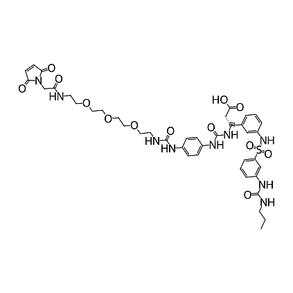 CCCNC(=O)Nc1cccc(S(=O)(=O)Nc2cccc([C@@H](CC(=O)O)NC(=O)Nc3ccc(NC(=O)NCCOCCOCCOCCNC(=O)CN4C(=O)C=CC4=O)cc3)c2)c1